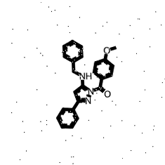 COc1ccc(C(=O)n2nc(-c3ccccc3)cc2NCc2ccccc2)cc1